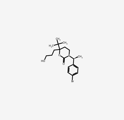 C[C@@H](c1ccc(Br)cc1)N1CCC(CCCO)(C(C)(C)C)OC1=O